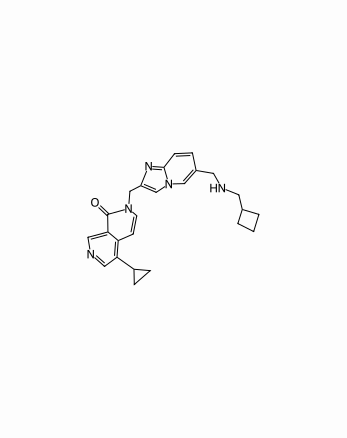 O=c1c2cncc(C3CC3)c2ccn1Cc1cn2cc(CNCC3CCC3)ccc2n1